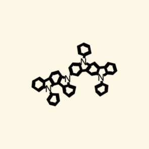 c1ccc(-n2c3ccccc3c3cc4c(cc32)c2cc(-n3c5ccccc5c5c3ccc3c6ccccc6n(-c6ccccc6)c35)ccc2n4-c2ccccc2)cc1